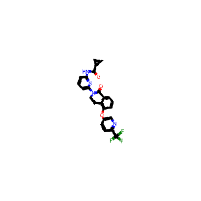 O=C(Nc1cccc(N2CCc3c(Oc4ccc(C(F)(F)F)nc4)cccc3C2=O)n1)C1CC1